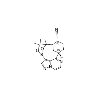 CC1(C)OB2OC1(C)C1C[C@H](CC[C@H]1C#N)c1nccn3ncc2c13